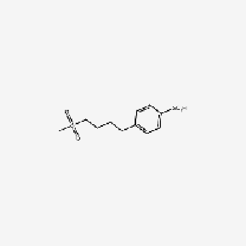 CS(=O)(=O)CCCCc1ccc(S(=O)(=O)O)cc1